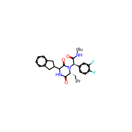 CC(C)C[C@@H]1C(=O)NC(C2Cc3ccccc3C2)C(=O)N1[C@@H](C(=O)NC(C)(C)C)c1ccc(F)c(F)c1